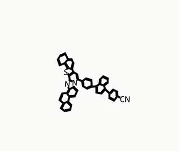 N#Cc1ccc(-c2ccc(-c3ccc(-c4cc5c6ccc7ccccc7c6sc5c5nc6c7ccc8ccccc8c7ccc6n45)cc3)c3ccccc23)cc1